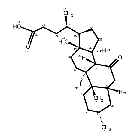 C[C@@H]1CC[C@@]2(C)[C@H](CC(=O)[C@@H]3[C@@H]2CC[C@]2(C)[C@@H]([C@H](C)CCC(=O)O)CC[C@@H]32)C1